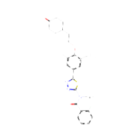 CCCCN(C(=O)c1ccccc1Cl)c1nnc(-c2cc(C)c(OCCC3CCC(=O)CC3)c(C)c2)s1